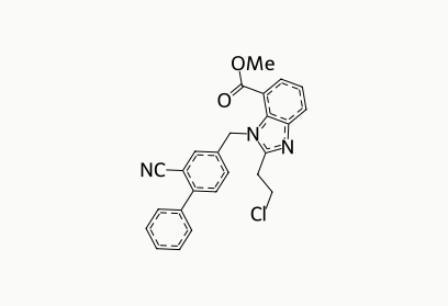 COC(=O)c1cccc2nc(CCCl)n(Cc3ccc(-c4ccccc4)c(C#N)c3)c12